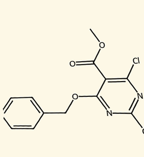 COC(=O)c1c(Cl)nc(Cl)nc1OCc1ccccc1